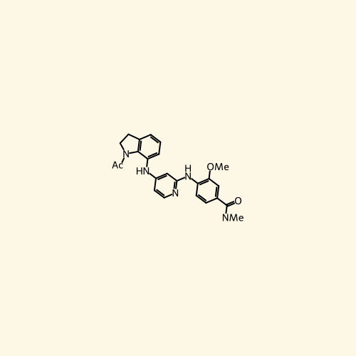 CNC(=O)c1ccc(Nc2cc(Nc3cccc4c3N(C(C)=O)CC4)ccn2)c(OC)c1